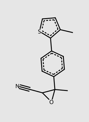 Cc1ccsc1-c1ccc(C2(C)OC2C#N)cc1